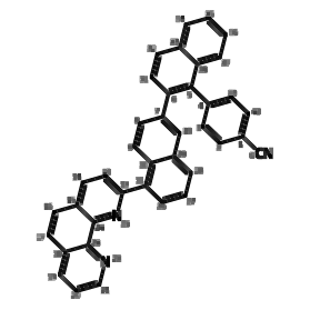 N#Cc1ccc(-c2c(-c3ccc4c(-c5ccc6ccc7cccnc7c6n5)cccc4c3)ccc3ccccc23)cc1